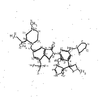 CC1CC(c2cc(NC3CCCC3)nc(N3Cc4c(cc(CN5CCN(C)CC5C(C)C)cc4C(F)(F)F)C3=O)c2)(c2nncn2C)C1